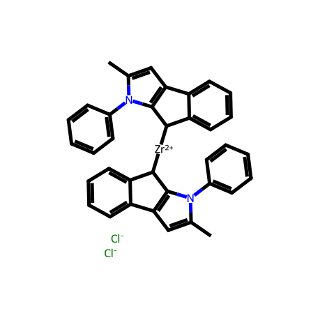 Cc1cc2c(n1-c1ccccc1)[CH]([Zr+2][CH]1c3ccccc3-c3cc(C)n(-c4ccccc4)c31)c1ccccc1-2.[Cl-].[Cl-]